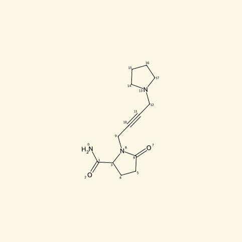 NC(=O)C1CCC(=O)N1CC#CCN1CCCC1